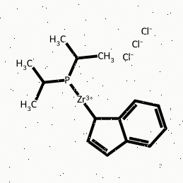 CC(C)[P]([Zr+3][CH]1C=Cc2ccccc21)C(C)C.[Cl-].[Cl-].[Cl-]